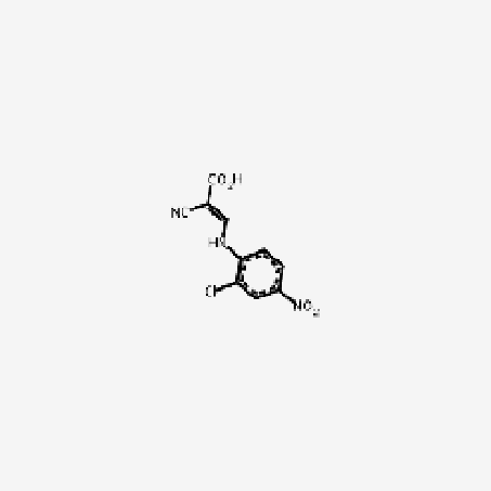 N#C/C(=C\Nc1ccc([N+](=O)[O-])cc1Cl)C(=O)O